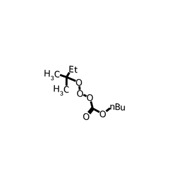 CCCCOC(=O)OOOC(C)(C)CC